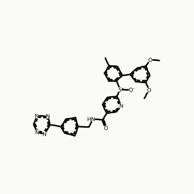 COc1cc(OC)cc(-c2cc(C)ccc2[S+]([O-])c2ccc(C(=O)NCc3ccc(-c4nncnn4)cc3)cn2)c1